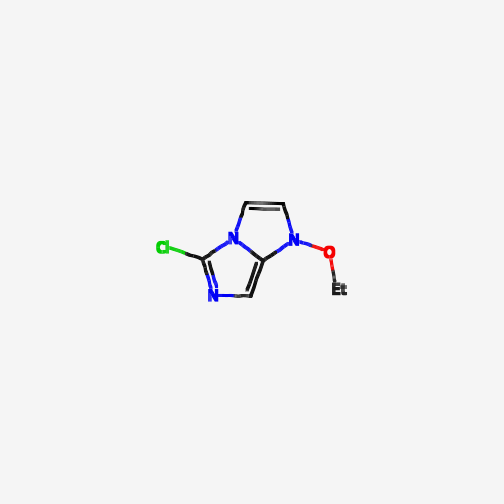 CCOn1ccn2c(Cl)ncc12